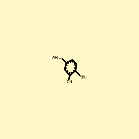 COc1ccc(C(C)(C)C)c(C#N)c1